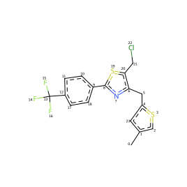 Cc1csc(Cc2nc(-c3ccc(C(F)(F)F)cc3)sc2CCl)c1